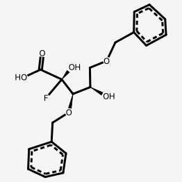 O=C(O)[C@@](O)(F)[C@H](OCc1ccccc1)[C@H](O)COCc1ccccc1